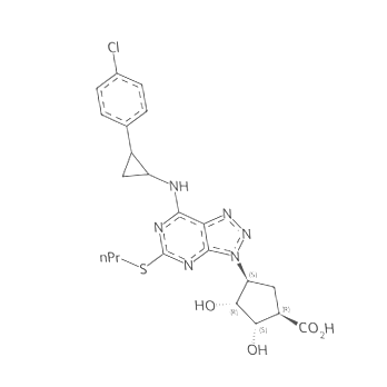 CCCSc1nc(NC2CC2c2ccc(Cl)cc2)c2nnn([C@H]3C[C@@H](C(=O)O)[C@H](O)[C@@H]3O)c2n1